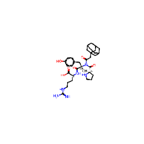 C[C@](Cc1ccc(O)cc1)(C(=O)N[C@@H](CCCNC(=N)N)C(=O)O)N(C(=O)CC12CC3CC(CC(C3)C1)C2)C(=O)[C@@H]1CCCN1